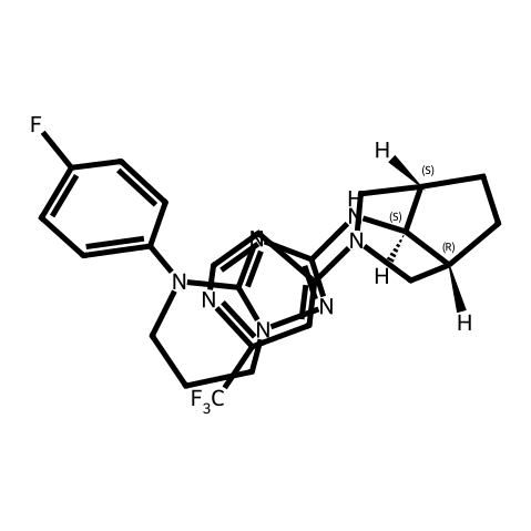 Fc1ccc(N2CCCn3nc(N[C@@H]4[C@@H]5CC[C@H]4CN(c4ccnc(C(F)(F)F)c4)C5)nc32)cc1